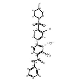 CN1CCN(S(=O)(=O)c2ccc(-c3cnc(C(=O)Nc4cccnc4)c(N)n3)cc2F)CC1.Cl